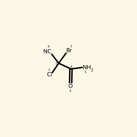 N#CC(Cl)(Br)C(N)=O